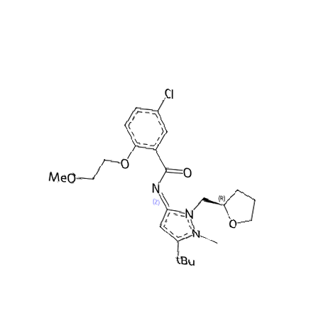 COCCOc1ccc(Cl)cc1C(=O)/N=c1/cc(C(C)(C)C)n(C)n1C[C@H]1CCCO1